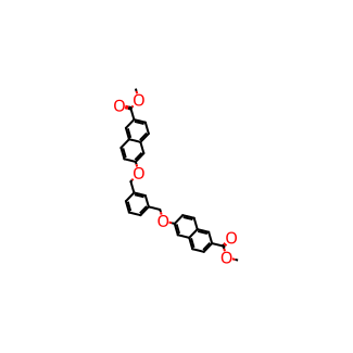 COC(=O)c1ccc2cc(OCc3cccc(COc4ccc5cc(C(=O)OC)ccc5c4)c3)ccc2c1